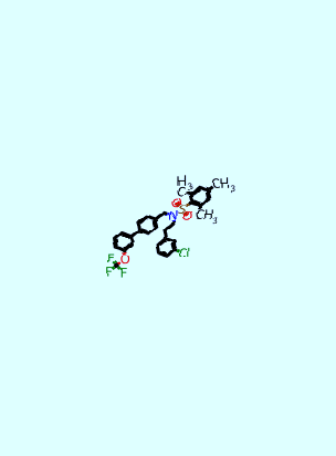 Cc1cc(C)c(S(=O)(=O)N(CCc2cccc(Cl)c2)Cc2ccc(-c3cccc(OC(F)(F)F)c3)cc2)c(C)c1